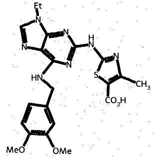 CCn1cnc2c(NCc3ccc(OC)c(OC)c3)nc(Nc3nc(C)c(C(=O)O)s3)nc21